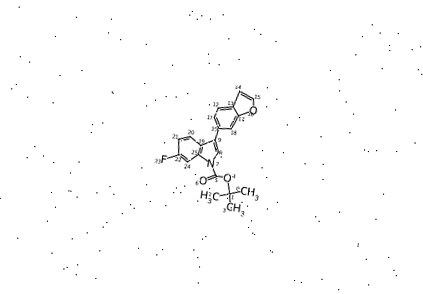 CC(C)(C)OC(=O)n1cc(-c2ccc3ccoc3c2)c2ccc(F)cc21